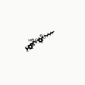 CCCCCCCOC(=O)c1cccc(OCC(O)c2cc3cc(C(C)C)ccc3o2)c1